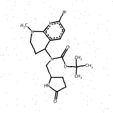 CN1CCC(N(CC2CCC(=O)N2)C(=O)OC(C)(C)C)c2ccc(Br)nc21